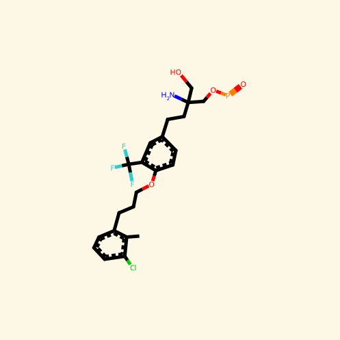 Cc1c(Cl)cccc1CCCOc1ccc(CCC(N)(CO)COP=O)cc1C(F)(F)F